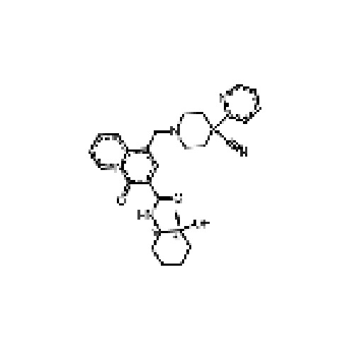 C[C@@]1(O)CCCC[C@H]1NC(=O)c1cc(CN2CCC(C#N)(c3ccccn3)CC2)c2ccccn2c1=O